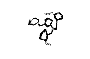 COc1cccc(CN(Cc2cccc(OC)c2)c2cccc(CN3CCOCC3)c2)c1